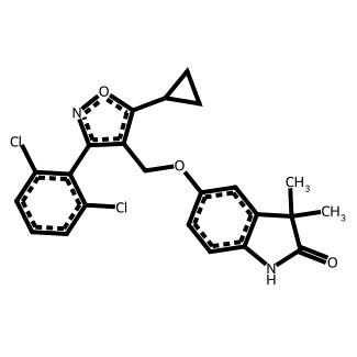 CC1(C)C(=O)Nc2ccc(OCc3c(-c4c(Cl)cccc4Cl)noc3C3CC3)cc21